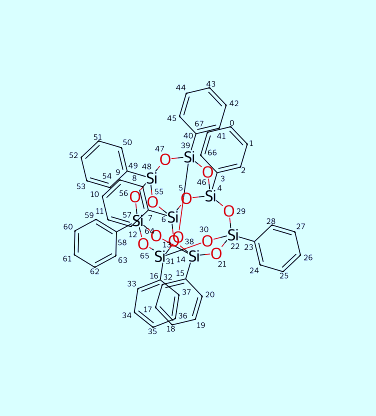 c1ccc([Si]23O[Si]4(c5ccccc5)O[Si]5(c6ccccc6)O[Si](c6ccccc6)(O2)O[Si]2(c6ccccc6)O[Si](c6ccccc6)(O3)O[Si](c3ccccc3)(O4)O[Si](c3ccccc3)(O5)O2)cc1